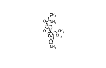 CCCC(N)C(=O)N1CC(=O)C2C1CCN2C(=O)C(CC(C)C)NC(=O)c1ccc(N)cc1